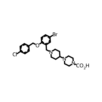 O=C(O)N1CCN(C2CCN(Cc3cc(Br)ccc3OCc3ccc(Cl)cc3)CC2)CC1